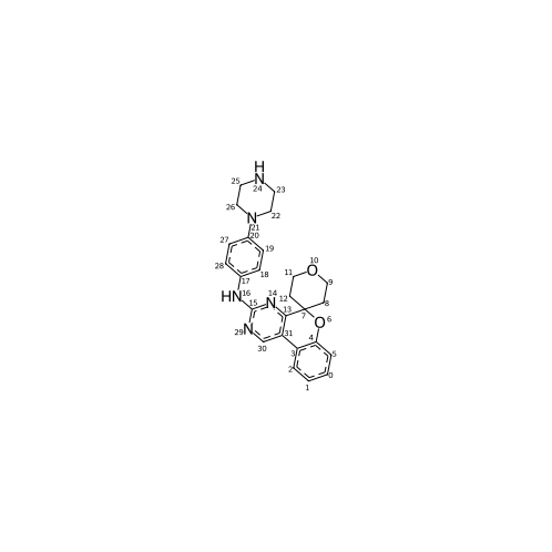 c1ccc2c(c1)OC1(CCOCC1)c1nc(Nc3ccc(N4CCNCC4)cc3)ncc1-2